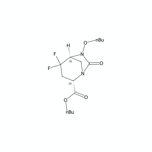 CCCCOC(=O)[C@@H]1CC(F)(F)[C@@H]2CN1C(=O)N2OCCCC